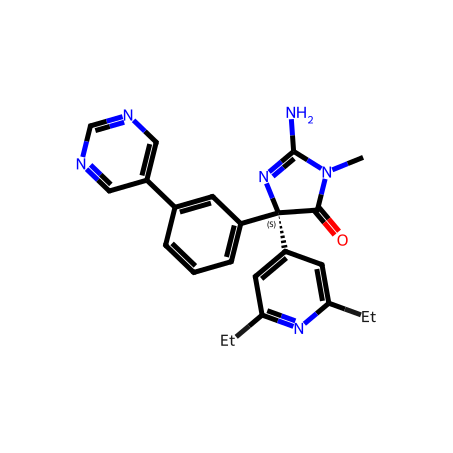 CCc1cc([C@]2(c3cccc(-c4cncnc4)c3)N=C(N)N(C)C2=O)cc(CC)n1